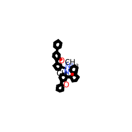 Cc1ccc2c(oc3cc(-c4ccccc4)ccc32)c1-c1n(-c2ccc3c(oc4ccccc43)c2-c2ccccc2)c2ccccc2[n+]1C